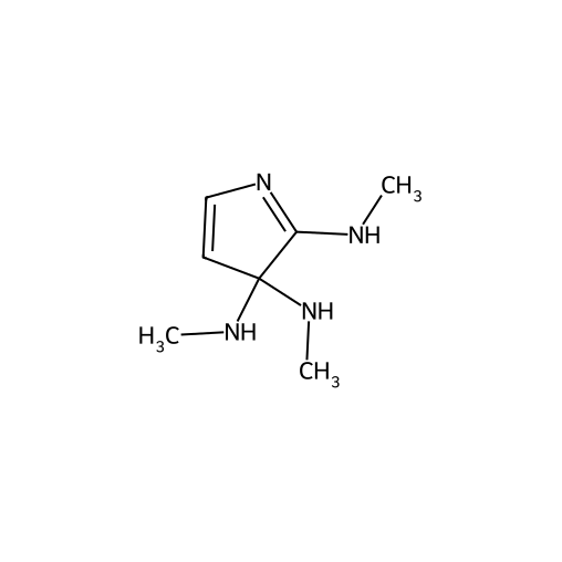 CNC1=NC=CC1(NC)NC